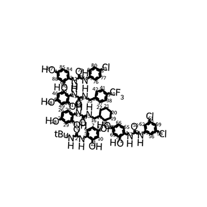 CC(C)(C)NC(=O)Nc1ccc(O)cc1O.O=C(NCC1CCCCC1)Nc1ccc(O)cc1O.O=C(NCc1ccc(C(F)(F)F)cc1)Nc1ccc(O)cc1O.O=C(Nc1cc(Cl)cc(Cl)c1)Nc1ccc(O)cc1O.O=C(Nc1ccc(Cl)cc1)Nc1ccc(O)cc1O